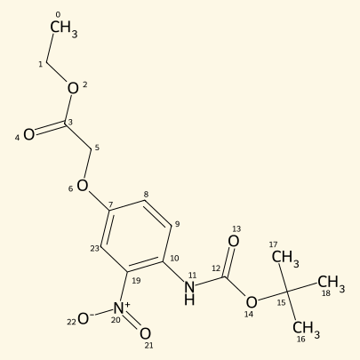 CCOC(=O)COc1ccc(NC(=O)OC(C)(C)C)c([N+](=O)[O-])c1